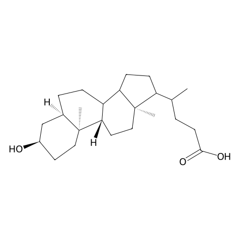 CC(CCC(=O)O)C1CCC2C3CC[C@@H]4C[C@H](O)CC[C@]4(C)[C@H]3CC[C@]12C